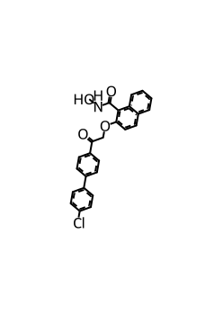 O=C(COc1ccc2ccccc2c1C(=O)NO)c1ccc(-c2ccc(Cl)cc2)cc1